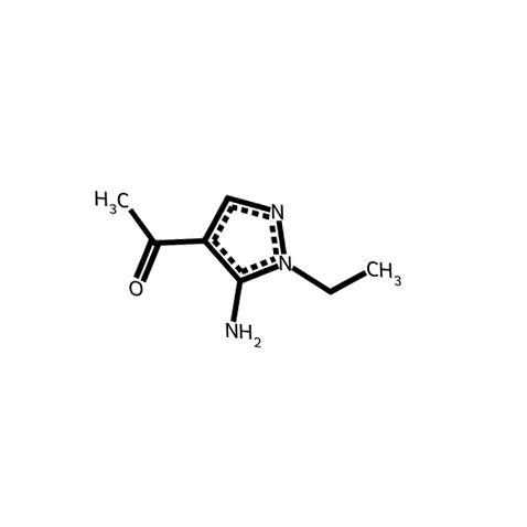 CCn1ncc(C(C)=O)c1N